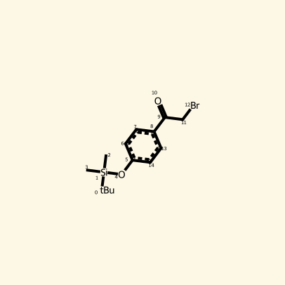 CC(C)(C)[Si](C)(C)Oc1ccc(C(=O)CBr)cc1